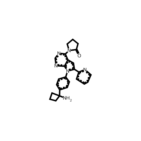 NC1(c2ccc(-n3c(-c4ccccn4)cc4c(N5CCCC5=O)ncnc43)cc2)CCC1